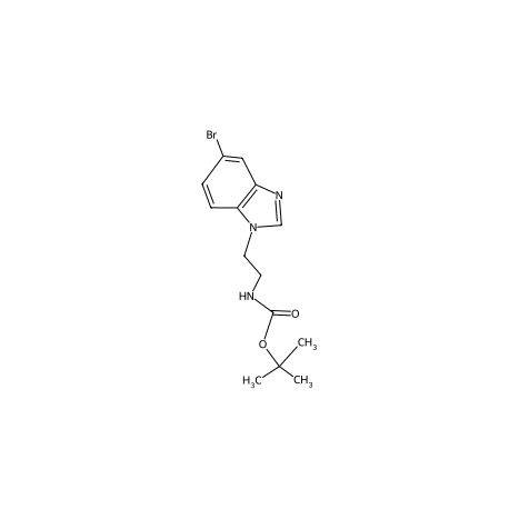 CC(C)(C)OC(=O)NCCn1cnc2cc(Br)ccc21